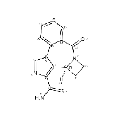 NC(=S)c1ncn2c1[C@@H]1CCN1C(=O)c1ccccc1-2